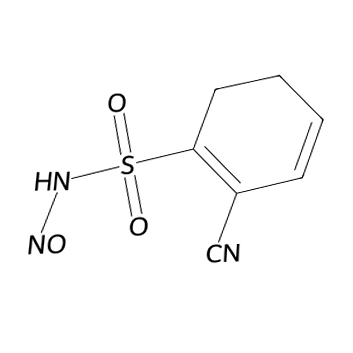 N#CC1=C(S(=O)(=O)NN=O)CCC=C1